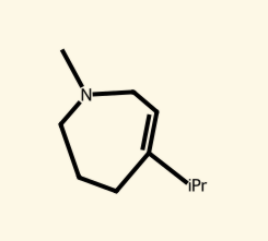 CC(C)C1=CCN(C)CCC1